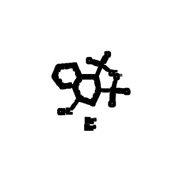 O=Cc1cc(S(=O)(=O)[O-])c(S(=O)(=O)[O-])c2ccccc12.[Na+].[Na+]